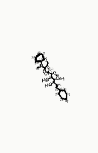 CO[C@@H](C(=O)N[C@H]1CSc2ccccc2N(C)C1=O)[C@H](O)[C@@H](O)[C@H](O)C=CC1CCCCC1